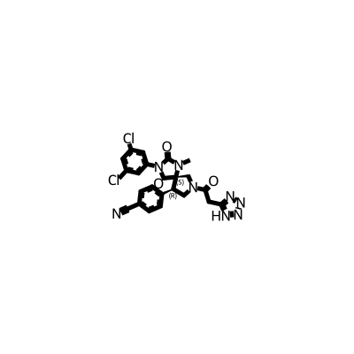 CN1C(=O)N(c2cc(Cl)cc(Cl)c2)C(=O)[C@]12CN(C(=O)Cc1nnn[nH]1)C[C@H]2c1ccc(C#N)cc1